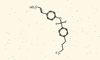 O=C(O)/C=C/c1ccc(OC(F)(F)c2ccc(CCCC(F)(F)F)cc2)cc1